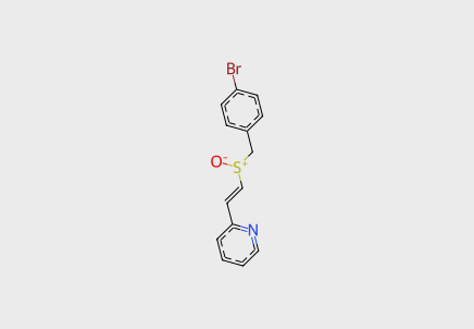 [O-][S+](/C=C/c1ccccn1)Cc1ccc(Br)cc1